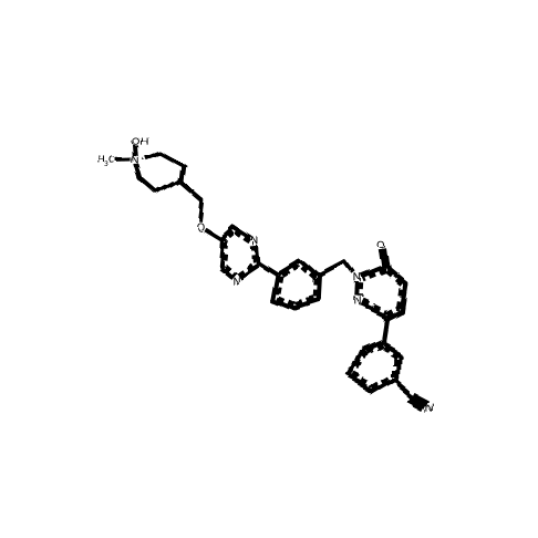 C[N+]1(O)CCC(COc2cnc(-c3cccc(Cn4nc(-c5cccc(C#N)c5)ccc4=O)c3)nc2)CC1